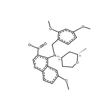 COc1ccc(CN(c2c([N+](=O)[O-])cnc3ccc(OC)cc23)[C@H]2CCO[C@@H](C)C2)c(OC)c1